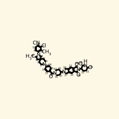 Cc1c(N2CC3(CCN(c4ccc(C(=O)N5CCC(N6Cc7cc8c(cc7C6)C(=O)N(C6CCC(=O)NC6=O)C8=O)CC5)cc4)CC3)C[C@@H]2C)ccc(C#N)c1Cl